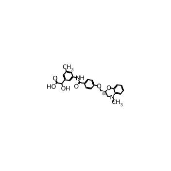 Cc1cc(NC(=O)c2ccc(OC[C@@H]3CN(C)c4ccccc4O3)cc2)cc(C(O)C(=O)O)c1